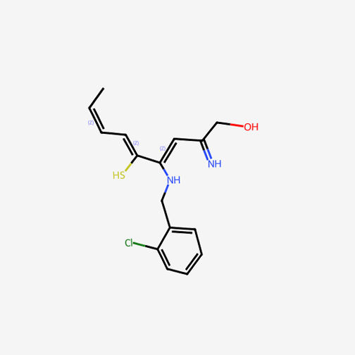 C\C=C/C=C(S)/C(=C/C(=N)CO)NCc1ccccc1Cl